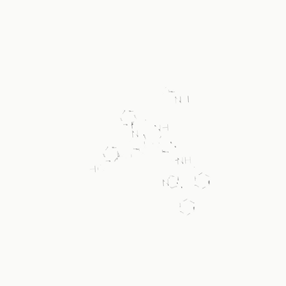 CCCCCCCC(=O)NCCCC[C@H](NC(=O)[C@@H](N)Cc1cn(C(c2ccccc2)c2ccc(F)cc2F)cn1)C(=O)N[C@H](Cc1ccc(C)cc1)C(=O)N[C@@H](Cc1ccc(O)cc1)C(=O)O